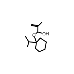 C=C(C)C(O)OC1(C(C)C)CCCCC1